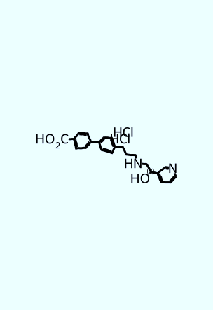 Cl.Cl.O=C(O)c1ccc(-c2ccc(CCCNC[C@H](O)c3cccnc3)cc2)cc1